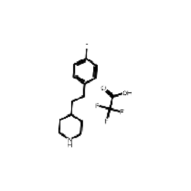 Fc1ccc(CCC2CCNCC2)cc1.O=C(O)C(F)(F)F